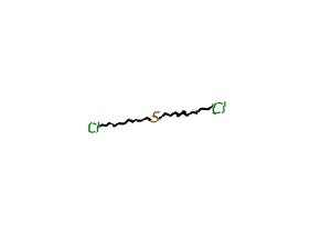 ClCCCCCCCCCCCCSCCCCCCCCCCCCCl